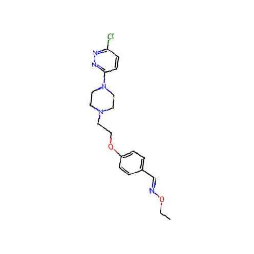 CCON=Cc1ccc(OCCN2CCN(c3ccc(Cl)nn3)CC2)cc1